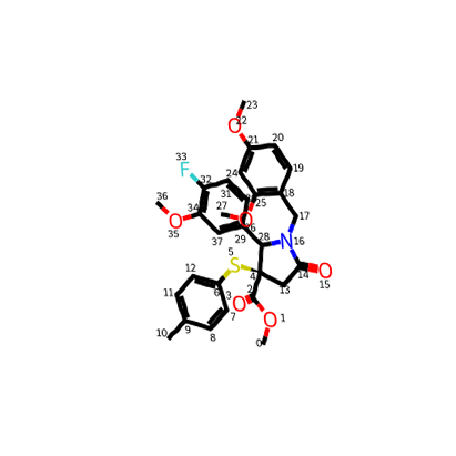 COC(=O)[C@@]1(Sc2ccc(C)cc2)CC(=O)N(Cc2ccc(OC)cc2OC)C1c1ccc(F)c(OC)c1